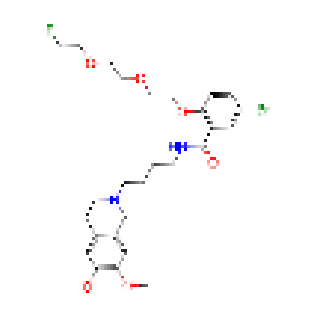 COc1cc2c(cc1OC)CN(CCCCNC(=O)c1cc(Br)ccc1OCCOCCOCCF)CC2